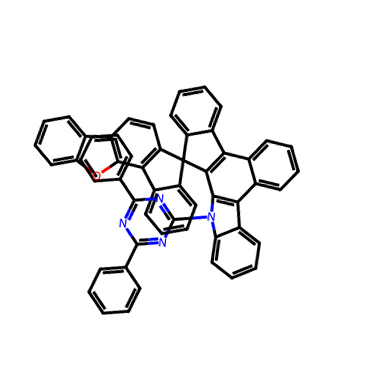 c1ccc(-c2nc(-c3ccccc3)nc(-n3c4ccccc4c4c5ccccc5c5c(c43)C3(c4ccccc4-5)c4ccccc4-c4c3ccc3c4oc4ccccc43)n2)cc1